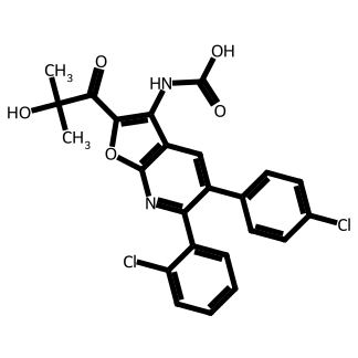 CC(C)(O)C(=O)c1oc2nc(-c3ccccc3Cl)c(-c3ccc(Cl)cc3)cc2c1NC(=O)O